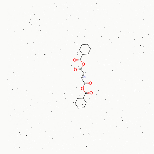 O=C(/C=C/C(=O)OC(=O)C1CCCCC1)OC(=O)C1CCCCC1